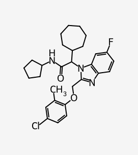 Cc1cc(Cl)ccc1OCc1nc2ccc(F)cc2n1C(C(=O)NC1CCCC1)C1CCCCCC1